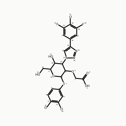 O=C(O)COC1C(Sc2ccc(Cl)c(Cl)c2)OC(CO)C(O)C1n1cc(-c2cc(F)c(Cl)c(F)c2)nn1